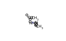 COc1cc2c(cc1OCc1ccccc1)CCNC2/C=C/c1cnnc2c1ccn2C